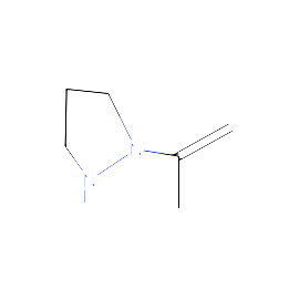 C=C(C)N1CCCN1